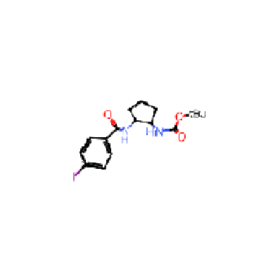 CC(C)(C)OC(=O)NC1CCCC1NC(=O)c1ccc(I)cc1